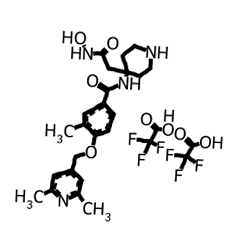 Cc1cc(COc2ccc(C(=O)NC3(CC(=O)NO)CCNCC3)cc2C)cc(C)n1.O=C(O)C(F)(F)F.O=C(O)C(F)(F)F